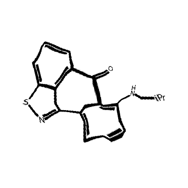 CC(C)Nc1cccc2c1C(=O)c1cccc3snc-2c13